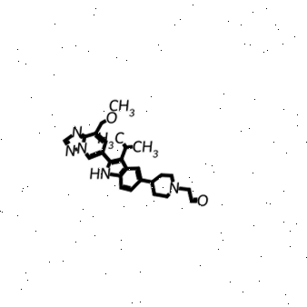 COCc1cc(-c2[nH]c3ccc(C4CCN(CC=O)CC4)cc3c2C(C)C)cn2ncnc12